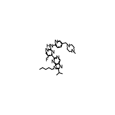 CCCCCn1c(C(C)C)nc2cnc(-c3nc(Nc4ccc(CN5CCN(C)CC5)cn4)ncc3F)nc21